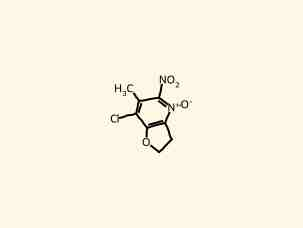 Cc1c(Cl)c2c([n+]([O-])c1[N+](=O)[O-])CCO2